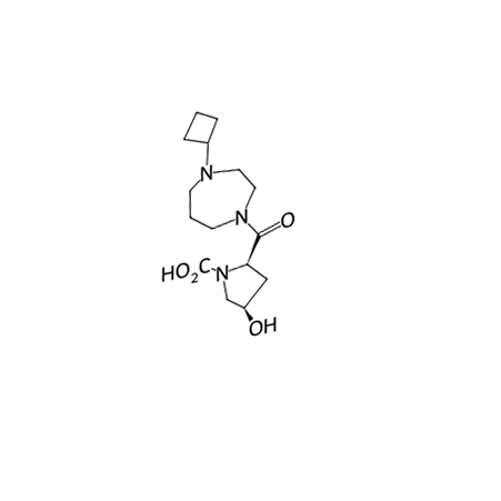 O=C([C@H]1C[C@@H](O)CN1C(=O)O)N1CCCN(C2CCC2)CC1